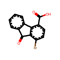 O=C(O)c1ccc(Br)c2c1-c1ccccc1C2=O